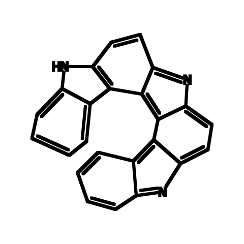 c1ccc2c(c1)=Nc1ccc3c(c1=2)=c1c(ccc2[nH]c4ccccc4c12)=N3